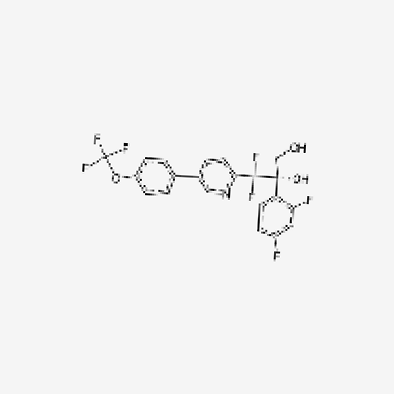 OC[C@@](O)(c1ccc(F)cc1F)C(F)(F)c1ccc(-c2ccc(OC(F)(F)F)cc2)cn1